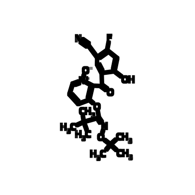 CC(C)(C)ON=C(Oc1ccc[n+]([O-])c1C(=O)c1cc(C#N)c(F)cc1O)C(C)(C)C